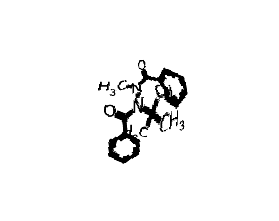 CN(C(=O)c1ccccc1)N(C(=O)c1ccccc1)C(C)(C)C